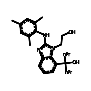 CCCC(O)(CCC)c1cccc2nc(Nc3c(C)cc(C)cc3C)n(CCO)c12